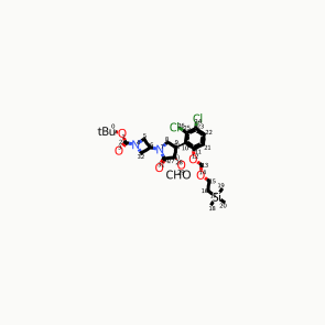 CC(C)(C)OC(=O)N1CC(N2C[C@@H](c3c(OCOCC[Si](C)(C)C)ccc(Cl)c3Cl)[C@H](OC=O)C2=O)C1